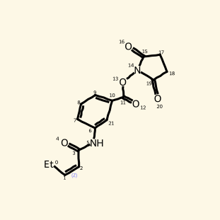 CC/C=C\C(=O)Nc1cccc(C(=O)ON2C(=O)CCC2=O)c1